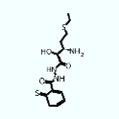 CCSCC[C@@H](N)C(O)C(=O)NNC(=O)C1=CC=CCC1=S